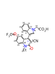 CCN(C(=O)/C(C#N)=C/c1cn(CC(=O)O)c2ccccc12)c1ccc(OC(F)(F)F)cc1